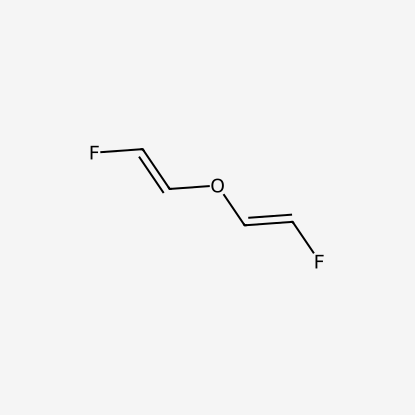 F/C=C/O/C=C/F